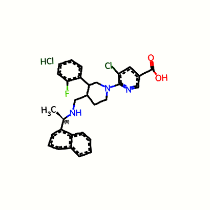 C[C@@H](NCC1CCN(c2ncc(C(=O)O)cc2Cl)CC1c1ccccc1F)c1cccc2ccccc12.Cl